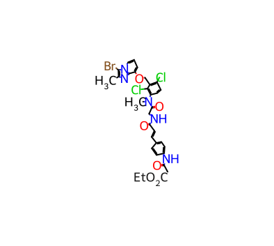 CCOC(=O)CC(=O)Nc1ccc(C=CC(=O)NCC(=O)N(C)c2ccc(Cl)c(COc3cccn4c(Br)c(C)nc34)c2Cl)cc1